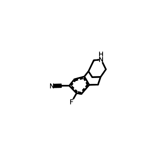 N#Cc1cc2c(cc1F)CC1CNCC2C1